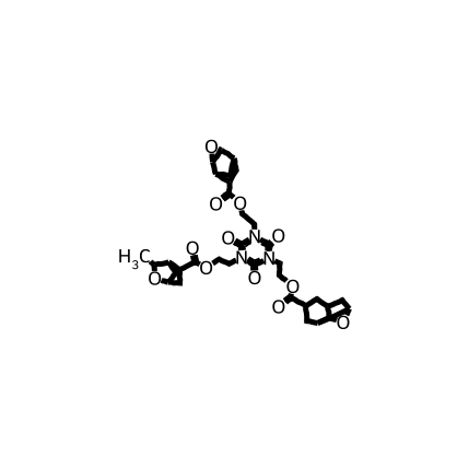 CC1OC2CC(C(=O)OCCn3c(=O)n(CCOC(=O)C4CC5CC6OC5C6C4)c(=O)n(CCOC(=O)C4CC5CC4C4OC54)c3=O)C1C2